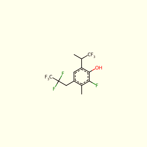 Cc1c(CC(F)(F)C(F)(F)F)cc(C(C)C(F)(F)F)c(O)c1F